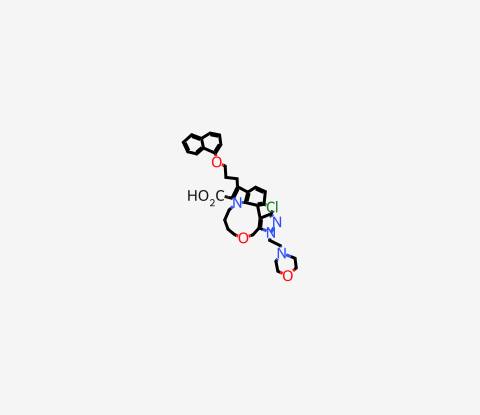 Cc1nn(CCN2CCOCC2)c2c1-c1c(Cl)ccc3c(CCCOc4cccc5ccccc45)c(C(=O)O)n(c13)CCCCOC2